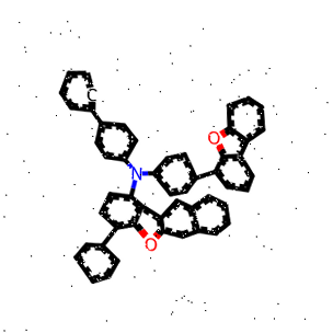 c1ccc(-c2ccc(N(c3ccc(-c4cccc5c4oc4ccccc45)cc3)c3ccc(-c4ccccc4)c4oc5cc6ccccc6cc5c34)cc2)cc1